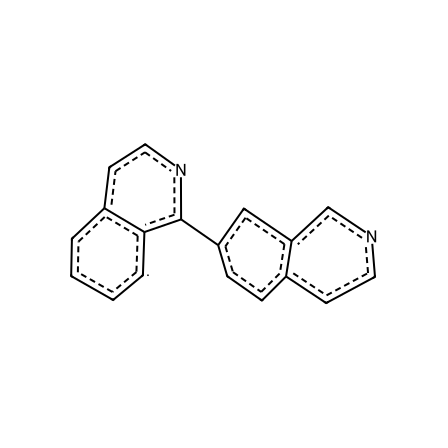 [c]1cccc2ccnc(-c3ccc4ccncc4c3)c12